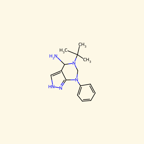 CC(C)(C)N1CN(c2ccccc2)c2n[nH]cc2C1N